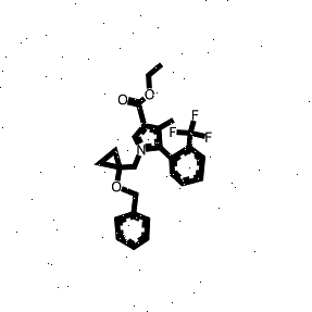 CCOC(=O)c1cn(CC2(OCc3ccccc3)CC2)c(-c2ccccc2C(F)(F)F)c1C